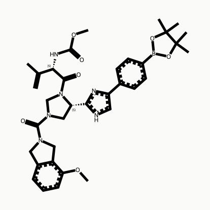 C=C(C)[C@H](NC(=O)OC)C(=O)N1CN(C(=O)N2Cc3cccc(OC)c3C2)C[C@H]1c1nc(-c2ccc(B3OC(C)(C)C(C)(C)O3)cc2)c[nH]1